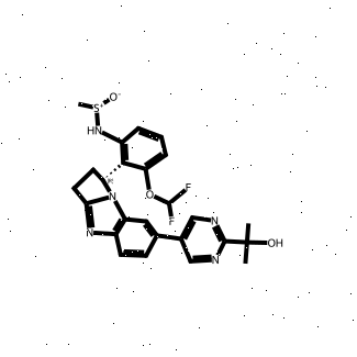 C[S+]([O-])Nc1cccc(OC(F)F)c1[C@H]1CCc2nc3ccc(-c4cnc(C(C)(C)O)nc4)cc3n21